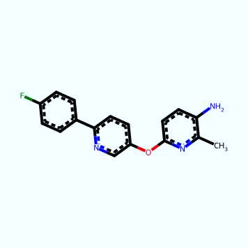 Cc1nc(Oc2ccc(-c3ccc(F)cc3)nc2)ccc1N